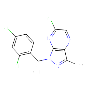 C[C@H](c1ccc(Cl)cc1Cl)n1nc(C(=O)O)c2ncc(Cl)nc21